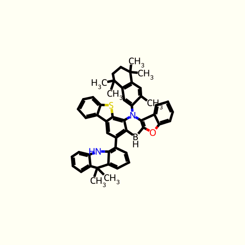 Cc1cc2c(cc1N1c3c(oc4ccccc34)Bc3c(-c4cccc5c4Nc4ccccc4C5(C)C)cc4c(sc5ccccc54)c31)C(C)(C)CCC2(C)C